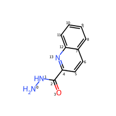 NNC(=O)c1ccc2c[c]ccc2n1